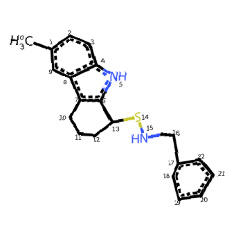 Cc1ccc2[nH]c3c(c2c1)CCCC3SNCc1ccccc1